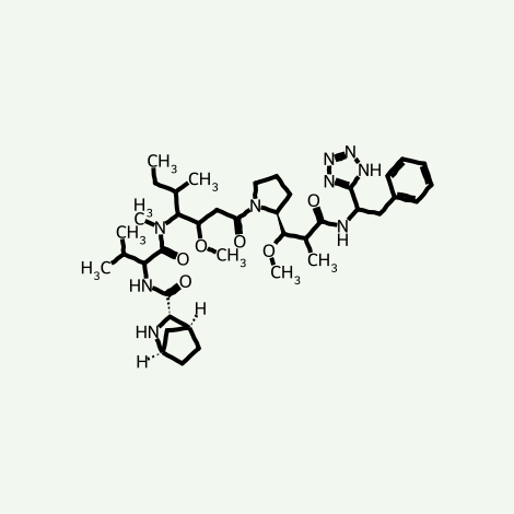 CCC(C)C(C(CC(=O)N1CCC[C@H]1C(OC)C(C)C(=O)NC(Cc1ccccc1)c1nnn[nH]1)OC)N(C)C(=O)C(NC(=O)[C@H]1N[C@@H]2CC[C@H]1C2)C(C)C